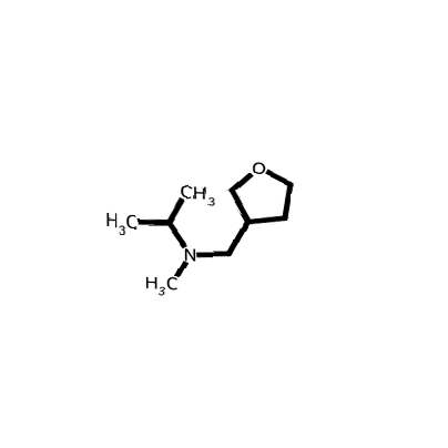 CC(C)N(C)CC1CCOC1